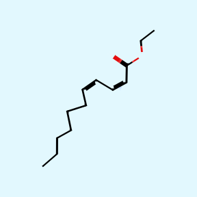 CCCCCC/C=C\C=C/C(=O)OCC